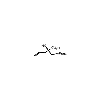 C=CCC(S)(CCCCCC)C(=O)O